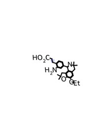 CCOc1cc2c(c3c1OC(C)(C)C3)C(c1ccc(/C=C/C(=O)O)c(N)c1)=NC(C)(C)C2